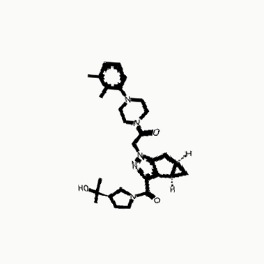 Cc1cccc(N2CCN(C(=O)Cn3nc(C(=O)N4CC[C@@H](C(C)(C)O)C4)c4c3C[C@H]3C[C@@H]43)CC2)c1C